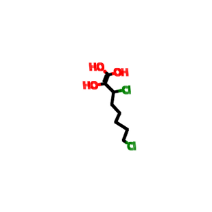 OC(O)=C(O)C(Cl)CCCCCCl